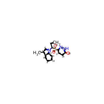 C=CC(n1cc(C)c2ccccc21)S(=O)(=O)c1ccc(=O)[nH]n1